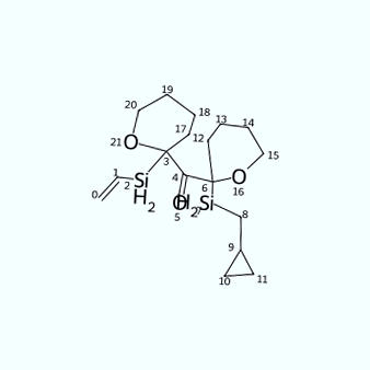 C=C[SiH2]C1(C(=O)C2([SiH2]CC3CC3)CCCCO2)CCCCO1